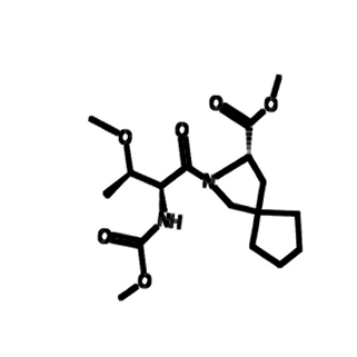 COC(=O)N[C@H](C(=O)N1CC2(CCCC2)C[C@H]1C(=O)OC)[C@@H](C)OC